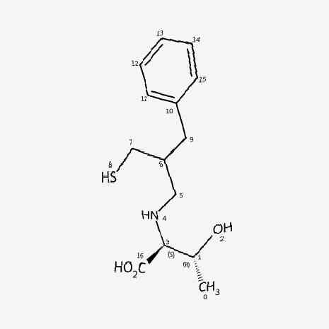 C[C@@H](O)[C@H](NCC(CS)Cc1ccccc1)C(=O)O